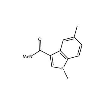 CNC(=O)c1cn(C)c2ccc(C)cc12